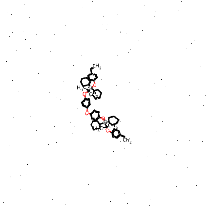 C=Cc1ccc(OC(C)(C)[Si](Oc2ccc(Oc3ccc(OC(C)(C)[Si](Oc4ccc(C=C)cc4)(C4CCCCC4)C4CCCCC4)cc3)cc2)(C2CCCCC2)C2CCCCC2)cc1